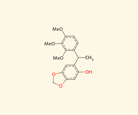 COc1ccc(C(C)c2cc3c(cc2O)OCO3)c(OC)c1OC